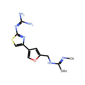 CSC(=NC#N)NCc1cc(-c2csc(N=C(N)N)n2)co1